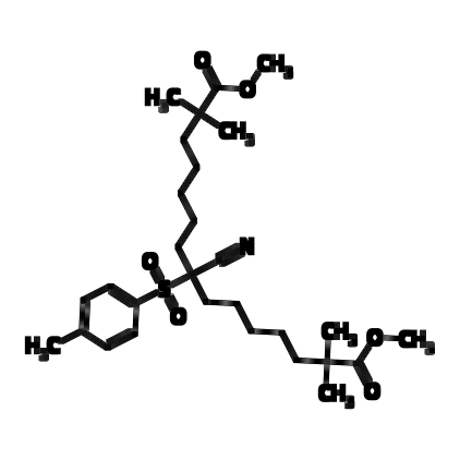 COC(=O)C(C)(C)CCCCCC(C#N)(CCCCCC(C)(C)C(=O)OC)S(=O)(=O)c1ccc(C)cc1